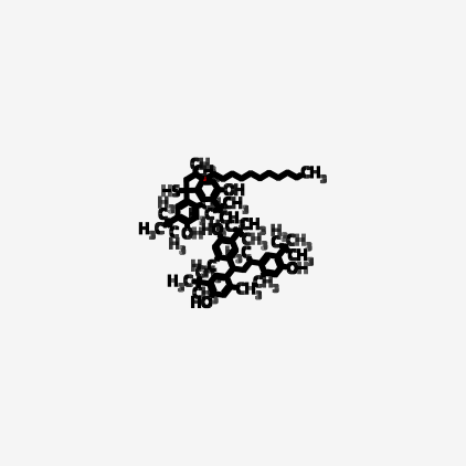 CCCCCCCCCCCCC(C)CC(S)(c1cc(C(C)(C)C)c(O)cc1C)c1cc(C(C)(C)C)c(O)cc1C.Cc1cc(O)c(C(C)(C)C)cc1C(C)CC(c1cc(C(C)(C)C)c(O)cc1C)c1cc(C(C)(C)C)c(O)cc1C